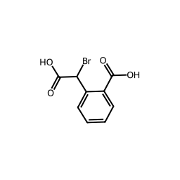 O=C(O)c1ccccc1C(Br)C(=O)O